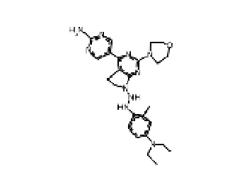 CCN(CC)c1ccc(NNN2CCc3c(-c4cnc(N)nc4)nc(N4CCOCC4)nc32)c(C)c1